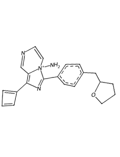 N[N+]12C=CN=CC1=C(C1=CC=C1)N=C2c1ccc(CC2CCCO2)cc1